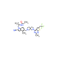 C=C(Cn1c(C#N)cc2c(C)c(CN3CCC4(CCN(c5nc(C)nc6sc(CC(F)(F)F)cc56)C4)C3)ccc21)NC(=O)CC